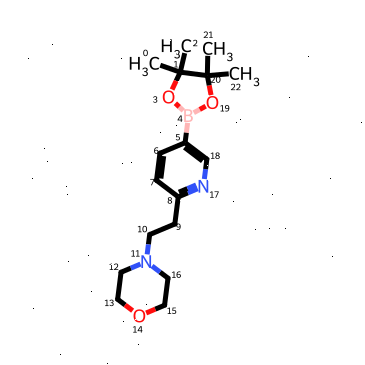 CC1(C)OB(c2ccc(CCN3CCOCC3)nc2)OC1(C)C